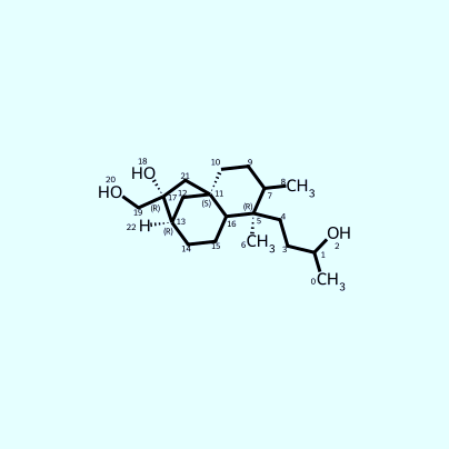 CC(O)CC[C@]1(C)C(C)CC[C@@]23C[C@@H](CCC21)[C@@](O)(CO)C3